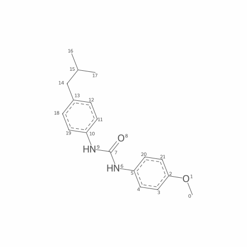 COc1ccc(NC(=O)Nc2ccc(CC(C)C)cc2)cc1